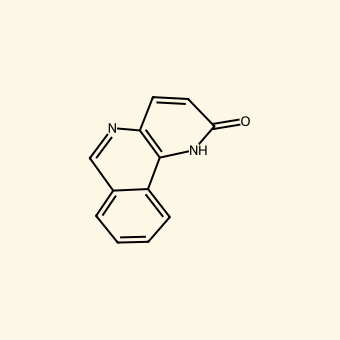 O=c1ccc2ncc3ccccc3c2[nH]1